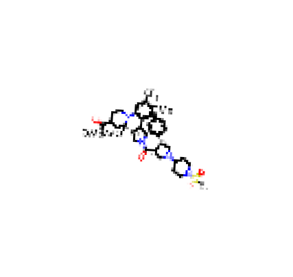 CCS(=O)(=O)N1CCC(N2C[C@@H](C(=O)N3C[C@H](COC)[C@@H](c4ccc(C(F)(F)F)cc4N4CCC(C(=O)OC)CC4)C3)[C@H](c3ccc(OC)cc3)C2)CC1